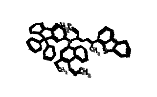 C=C/C(=C\C=C(/C)c1cccc2c1sc1ccccc12)N(c1ccc2c(c1)C(c1ccccc1)(c1ccccc1)c1ccccc1-2)c1cc(C=C)c(/C=C\C)c2ccccc12